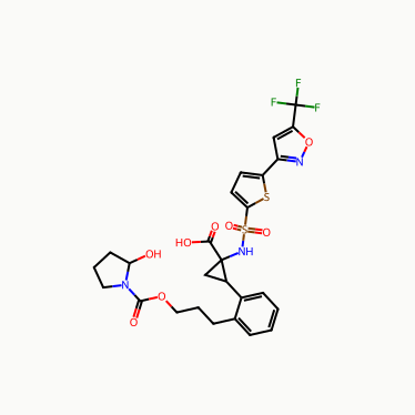 O=C(OCCCc1ccccc1C1CC1(NS(=O)(=O)c1ccc(-c2cc(C(F)(F)F)on2)s1)C(=O)O)N1CCCC1O